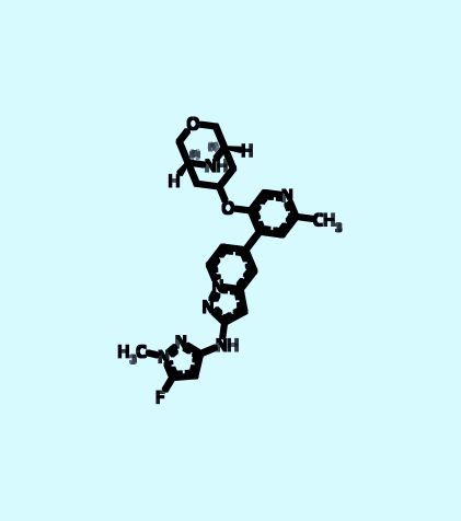 Cc1cc(-c2ccn3nc(Nc4cc(F)n(C)n4)cc3c2)c(OC2C[C@H]3COC[C@@H](C2)N3)cn1